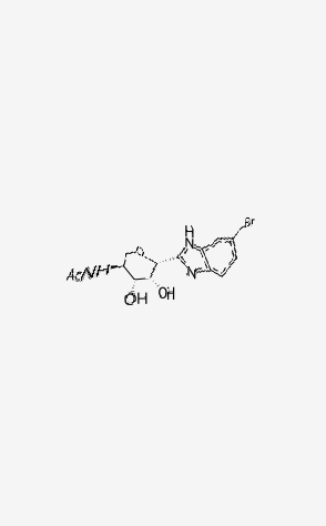 CC(=O)N[C@H]1CO[C@H](c2nc3ccc(Br)cc3[nH]2)[C@H](O)[C@@H]1O